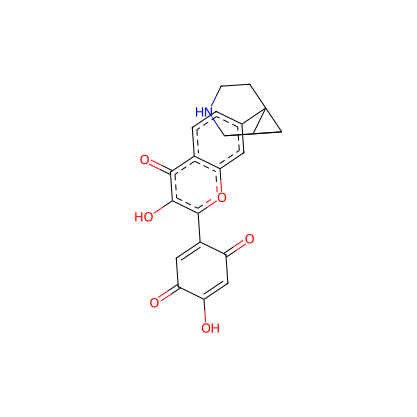 O=C1C=C(c2oc3cc(C45CCNC6C4C65)ccc3c(=O)c2O)C(=O)C=C1O